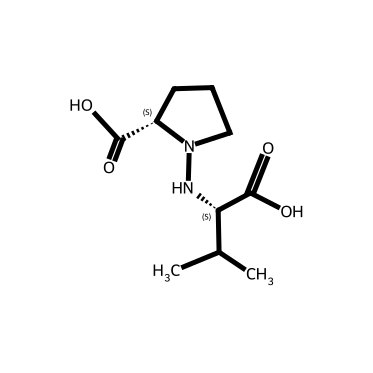 CC(C)[C@H](NN1CCC[C@H]1C(=O)O)C(=O)O